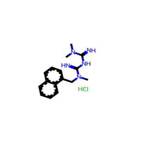 CN(C)C(=N)NC(=N)N(C)Cc1cccc2ccccc12.Cl